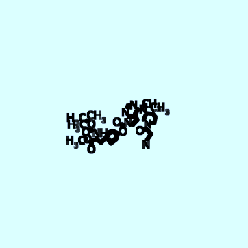 COC(=O)C(Cc1ccc(OC(=O)n2ccc3c(N(C)[C@H]4CN(C(=O)CC#N)CC[C@H]4C)ncnc32)cc1)NC(=O)OC(C)(C)C